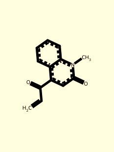 C=CC(=O)c1cc(=O)n(C)c2ccccc12